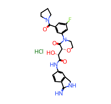 Cl.N=C1NCc2cc(NC(=O)[C@H](O)[C@H]3OCCN(c4cc(F)cc(C(=O)N5CCCC5)c4)C3=O)ccc21